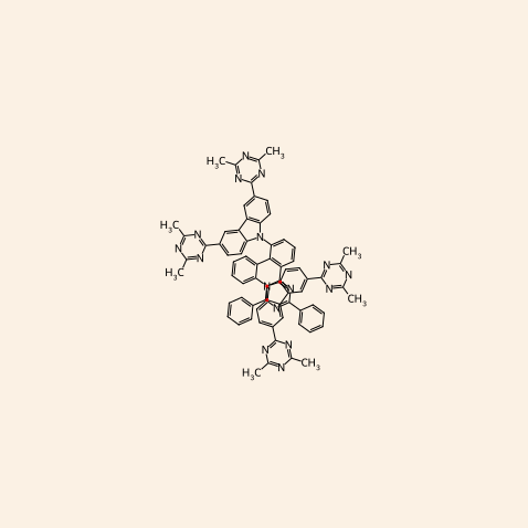 Cc1nc(C)nc(-c2ccc3c(c2)c2cc(-c4nc(C)nc(C)n4)ccc2n3-c2ccccc2-c2c(-c3cc(-c4ccccc4)nc(-c4ccccc4)n3)cccc2-n2c3ccc(-c4nc(C)nc(C)n4)cc3c3cc(-c4nc(C)nc(C)n4)ccc32)n1